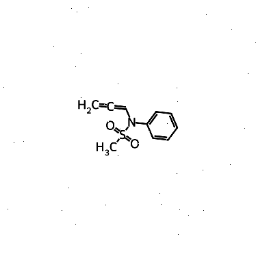 C=C=CN(c1ccccc1)S(C)(=O)=O